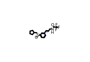 O=C(NC/C=C/c1cccc([S+]([O-])CC2CCCC2)c1)C(F)(F)F